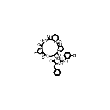 C[C@@H]1C[C@H]2C(=O)OC[C@H](NC(=O)[C@H](Cc3ccccc3)NC(O)Nc3cccc(Cl)c3)C(=O)N3CCC[C@H]3C(=O)N3CCCC[C@H]3C(=O)N[C@@H](C)C(=O)N2C1